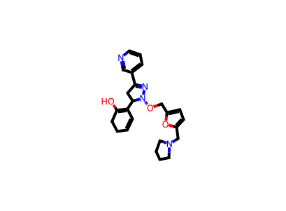 OC1=C(C2CC(c3cccnc3)=NN2OCc2ccc(CN3CCCC3)o2)C=CCC1